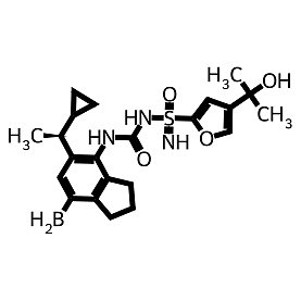 Bc1cc([C@@H](C)C2CC2)c(NC(=O)NS(=N)(=O)c2cc(C(C)(C)O)co2)c2c1CCC2